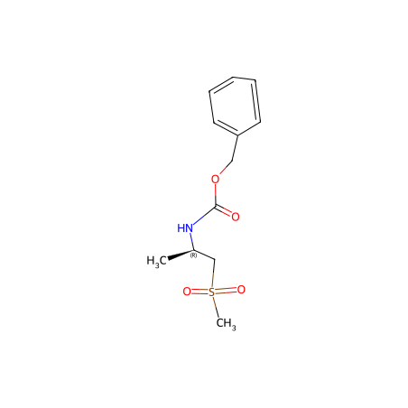 C[C@H](CS(C)(=O)=O)NC(=O)OCc1ccccc1